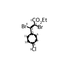 CCOC(=O)C(Br)=C(Br)c1ccc(Cl)cc1